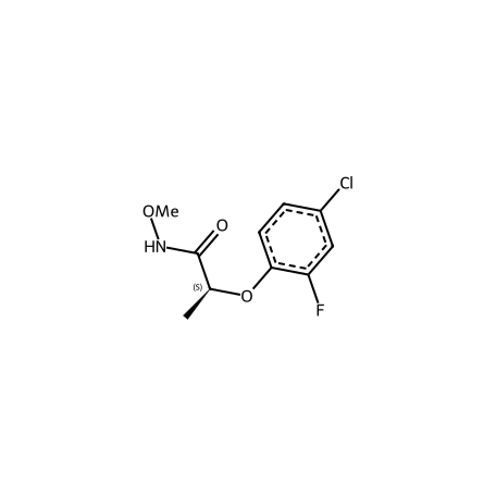 CONC(=O)[C@H](C)Oc1ccc(Cl)cc1F